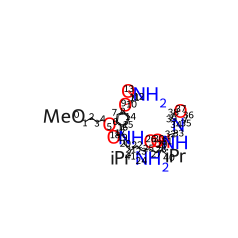 COCCCCOc1cc(OCC(N)=O)ccc1C(=O)NCC(CC(N)C(O)CC(C(=O)NCCN1CCOCC1)C(C)C)C(C)C